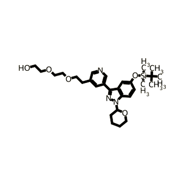 CC(C)(C)[Si](C)(C)Oc1ccc2c(c1)c(-c1cncc(CCOCCOCCO)c1)nn2C1CCCCO1